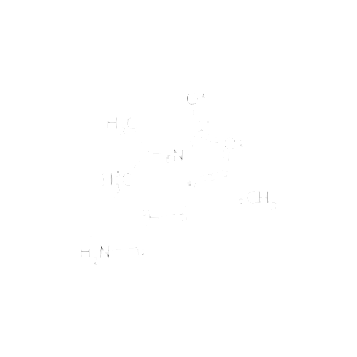 Cc1oc(=O)n(C(C)C)c1CCCN